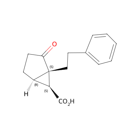 O=C(O)[C@H]1[C@H]2CCC(=O)[C@@]21CCc1ccccc1